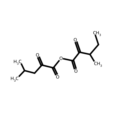 CCC(C)C(=O)C(=O)OC(=O)C(=O)CC(C)C